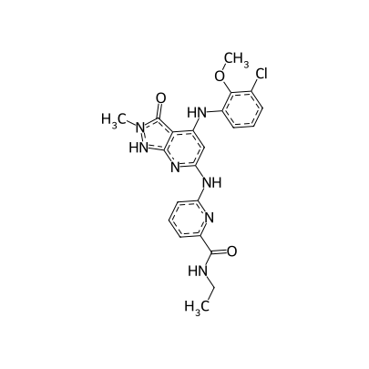 CCNC(=O)c1cccc(Nc2cc(Nc3cccc(Cl)c3OC)c3c(=O)n(C)[nH]c3n2)n1